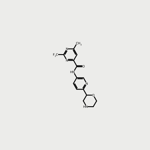 Cc1cc(C(=O)Nc2ccc(C3CNCCO3)nc2)nc(C(F)(F)F)n1